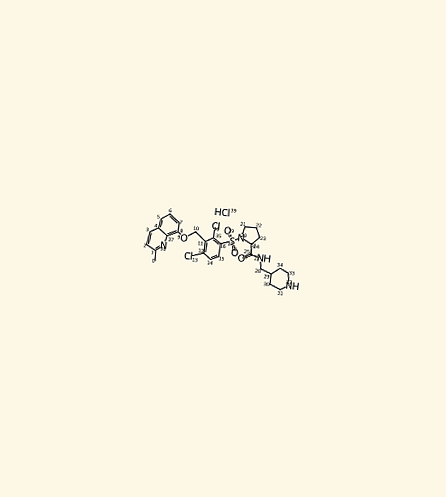 Cc1ccc2cccc(OCc3c(Cl)ccc(S(=O)(=O)N4CCC[C@H]4C(=O)NCC4CCNCC4)c3Cl)c2n1.Cl